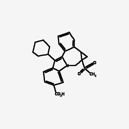 CS(=O)(=O)C12CC1c1ccccc1-c1c(C3CCCCC3)c3ccc(C(=O)O)cc3n1C2